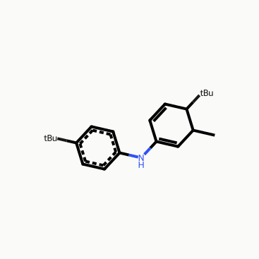 CC1C=C(Nc2ccc(C(C)(C)C)cc2)C=CC1C(C)(C)C